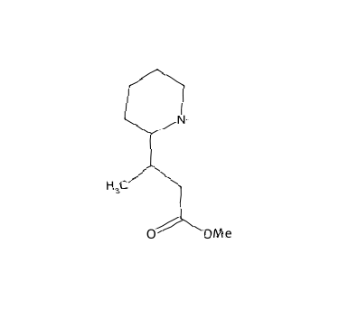 COC(=O)CC(C)C1CCCC[N]1